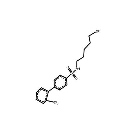 O=S(=O)(NCCCCCO)c1ccc(-c2ccccc2C(F)(F)F)cc1